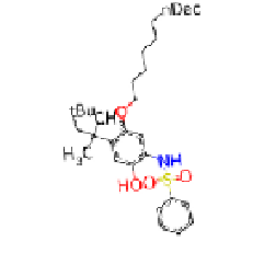 CCCCCCCCCCCCCCCCOc1cc(NS(=O)(=O)c2ccccc2)c(O)cc1C(C)(C)CC(C)(C)C